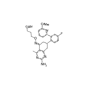 COCCCON=C1CC(c2ccc(F)cc2-c2cccc(OC)n2)Cc2nc(N)nc(C)c21